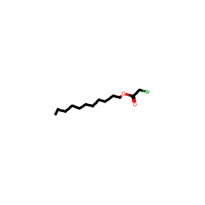 CCCCCCCCCCCOC(=O)CBr